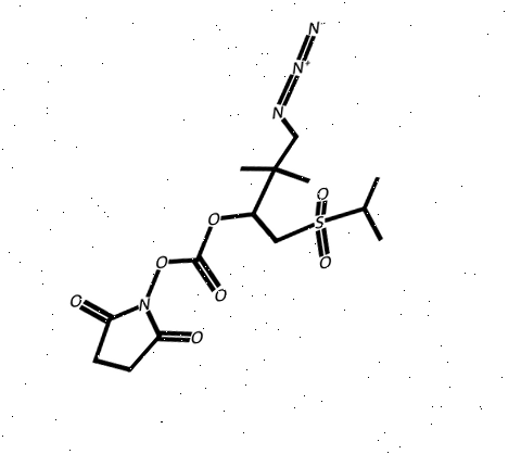 CC(C)S(=O)(=O)CC(OC(=O)ON1C(=O)CCC1=O)C(C)(C)CN=[N+]=[N-]